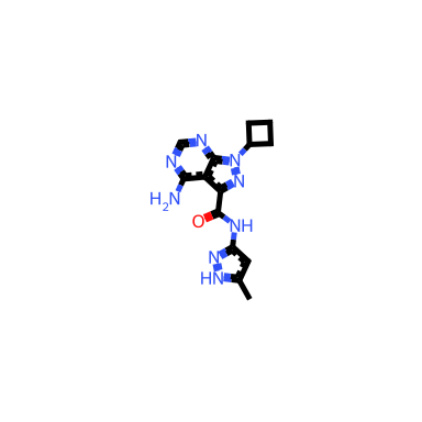 Cc1cc(NC(=O)c2nn(C3CCC3)c3ncnc(N)c23)n[nH]1